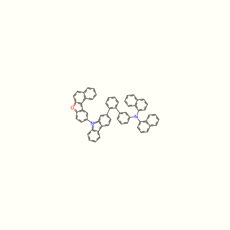 c1cc(-c2ccccc2-c2ccc3c4ccccc4n(-c4ccc5oc6ccc7ccccc7c6c5c4)c3c2)cc(N(c2cccc3ccccc23)c2cccc3ccccc23)c1